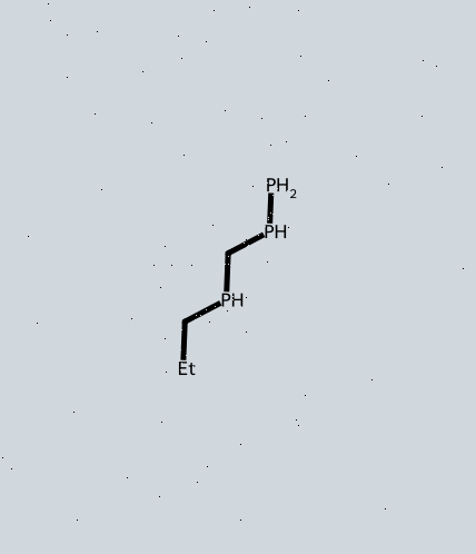 CCCPCPP